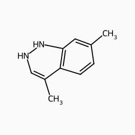 CC1=CNNc2cc(C)ccc21